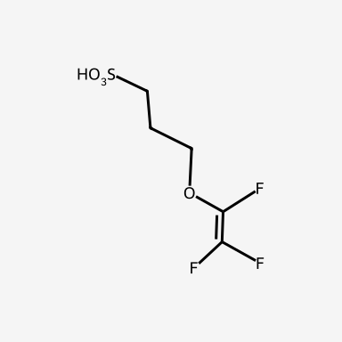 O=S(=O)(O)CCCOC(F)=C(F)F